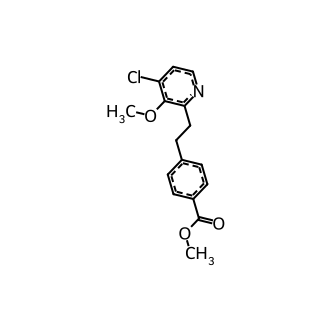 COC(=O)c1ccc(CCc2nccc(Cl)c2OC)cc1